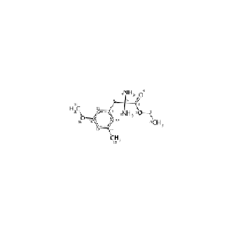 CCOC(=O)C(N)(N)Cc1cc(C)cc(OC)c1